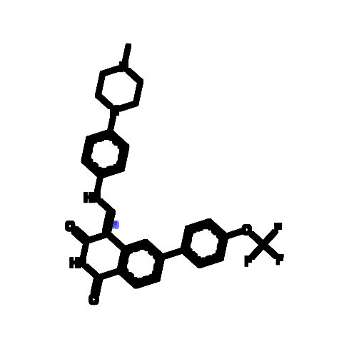 CN1CCN(c2ccc(N/C=C3\C(=O)NC(=O)c4ccc(-c5ccc(OC(F)(F)F)cc5)cc43)cc2)CC1